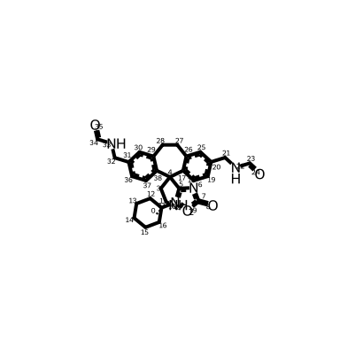 C[C@@H](N)CC1(c2nc(=O)on2C2CCCCC2)c2ccc(CNC=O)cc2CCc2cc(CNC=O)ccc21